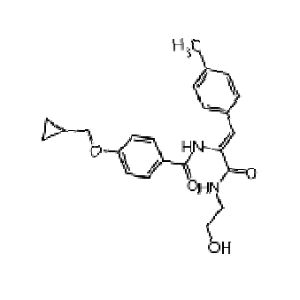 Cc1ccc(/C=C(\NC(=O)c2ccc(OCC3CC3)cc2)C(=O)NCCO)cc1